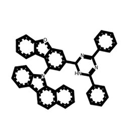 c1ccc(C2=NC(c3cc(-n4c5ccccc5c5ccc6ccccc6c54)c4c(c3)oc3ccccc34)NC(c3ccccc3)=N2)cc1